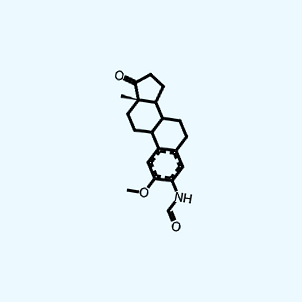 COc1cc2c(cc1NC=O)CCC1C2CC[C@]2(C)C(=O)CCC12